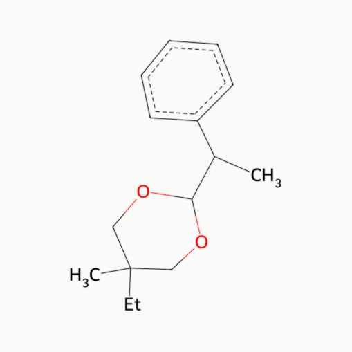 CCC1(C)COC(C(C)c2ccccc2)OC1